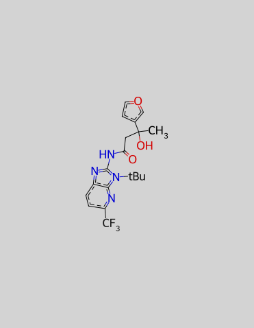 CC(O)(CC(=O)Nc1nc2ccc(C(F)(F)F)nc2n1C(C)(C)C)c1ccoc1